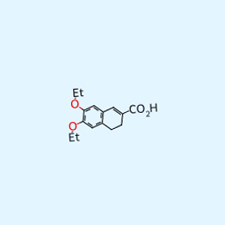 CCOc1cc2c(cc1OCC)CCC(C(=O)O)=C2